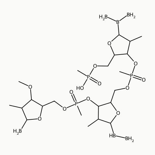 BBC1OC(COP(C)(=O)OC2C(COP(C)(=O)O)OC(B(B)B)C2C)C(OP(C)(=O)OCC2OC(B)C(C)C2OC)C1C